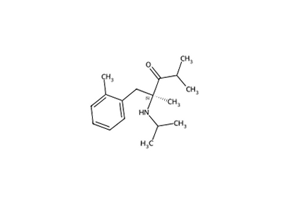 Cc1ccccc1C[C@](C)(NC(C)C)C(=O)C(C)C